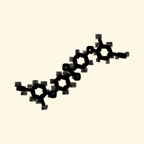 C#Cc1ccc(Oc2ccc(S(=O)(=O)c3ccc(Oc4ccc(C#C)cc4C)cc3)cc2)c(C)c1